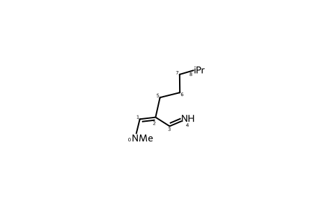 CN/C=C(\C=N)CCCC(C)C